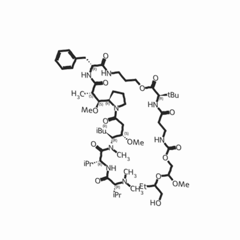 CCC(CO)OC(COC(=O)NCCC(=O)N[C@@H](C(=O)OCCCNC(=O)[C@@H](Cc1ccccc1)NC(=O)[C@@H](C)[C@H](OC)[C@H]1CCCN1C(=O)C[C@H](OC)[C@@H]([C@H](C)CC)N(C)C(=O)[C@H](NC(=O)[C@@H](C(C)C)N(C)C)C(C)C)C(C)(C)C)OC